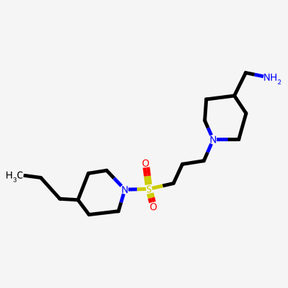 CCCC1CCN(S(=O)(=O)CCCN2CCC(CN)CC2)CC1